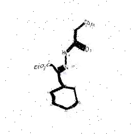 CCOC(=O)CC(=O)N/N=C(\C(=O)OCC)C1CCCCC1